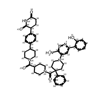 Nc1nnc(-c2ccccc2O)cc1N1CCC(C(=O)N2CCC(C(=O)N3CCC(c4ccc(C5CCC(=O)NC5=O)cc4)CC3)CC2)(c2ccccc2)CC1